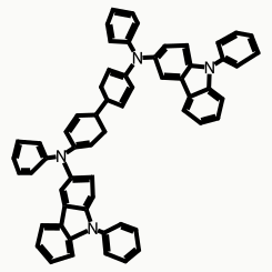 C1=CC(C2C=CC(N(c3ccccc3)c3ccc4c(c3)c3ccccc3n4-c3ccccc3)=CC2)CC=C1N(c1ccccc1)c1ccc2c(c1)c1ccccc1n2-c1ccccc1